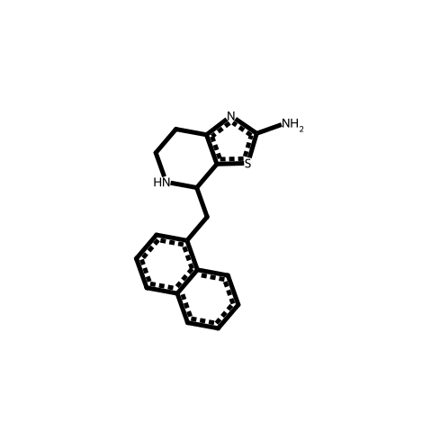 Nc1nc2c(s1)C(Cc1cccc3ccccc13)NCC2